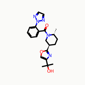 C[C@@H]1CC[C@@H](c2nc(C(C)(C)O)co2)CN1C(=O)c1ccccc1-n1nccn1